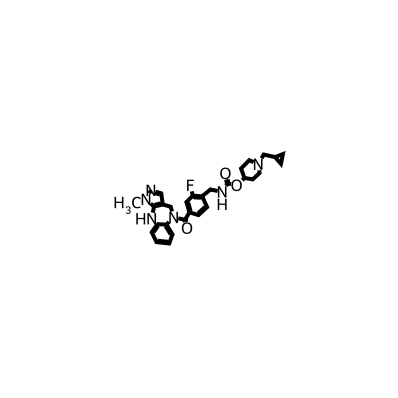 Cn1ncc2c1Nc1ccccc1N(C(=O)c1ccc(CNC(=O)OC3CCN(CC4CC4)CC3)c(F)c1)C2